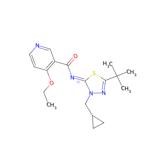 CCOc1ccncc1C(=O)/N=c1\sc(C(C)(C)C)nn1CC1CC1